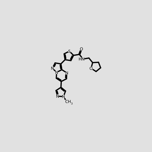 Cn1cc(-c2cnc3c(-c4csc(C(=O)NCC5CCCO5)c4)cnn3c2)cn1